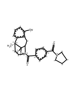 CC1(C)C2Cc3c(O)cccc3[C@]1(C)CCN2C(=O)c1ccc(C(=O)N2CCCC2)cc1